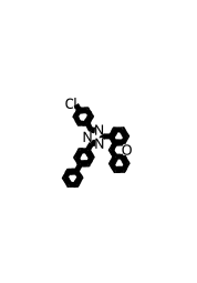 ClC1=CC=C(c2nc(-c3ccc(-c4ccccc4)cc3)nc(-c3cccc4c3Cc3ccccc3O4)n2)CC1